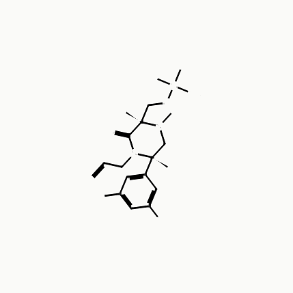 C=CCN1C(=O)[C@](C)(CO[Si](C)(C)C(C)(C)C)N(C)C[C@]1(C)c1cc(F)cc(F)c1